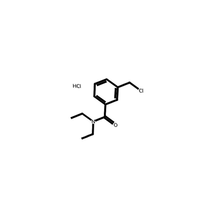 CCN(CC)C(=O)c1cccc(CCl)c1.Cl